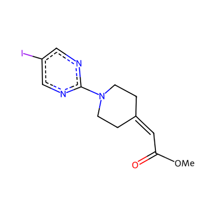 COC(=O)C=C1CCN(c2ncc(I)cn2)CC1